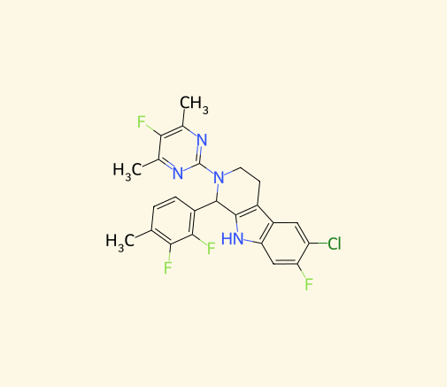 Cc1ccc(C2c3[nH]c4cc(F)c(Cl)cc4c3CCN2c2nc(C)c(F)c(C)n2)c(F)c1F